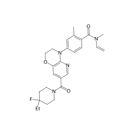 C=CN(C)C(=O)c1ccc(N2CCOc3cc(C(=O)N4CCC(F)(CC)CC4)cnc32)cc1C